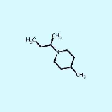 CCC(C)N1CCC(C)CC1